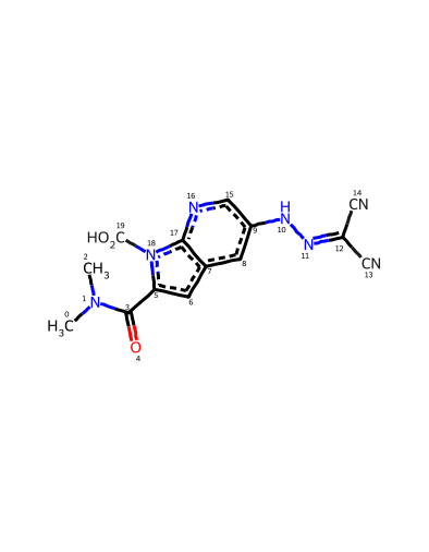 CN(C)C(=O)c1cc2cc(NN=C(C#N)C#N)cnc2n1C(=O)O